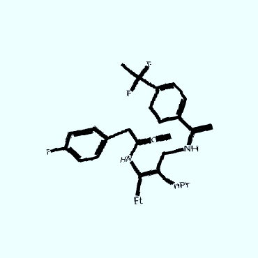 C=C=C(Cc1ccc(F)cc1)NC(CC)C(CCC)CNC(=C)C1=CC=C(C(C)(F)F)CC1